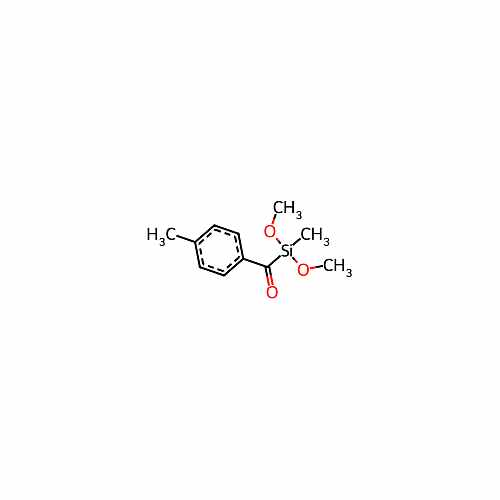 CO[Si](C)(OC)C(=O)c1ccc(C)cc1